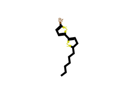 CCCCCCC1CC=C(c2ccc(Br)s2)S1